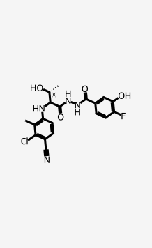 Cc1c(NC(C(=O)NNC(=O)c2ccc(F)c(O)c2)[C@@H](C)O)ccc(C#N)c1Cl